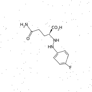 NC(=O)CC[C@H](NNc1ccc(F)cc1)C(=O)O